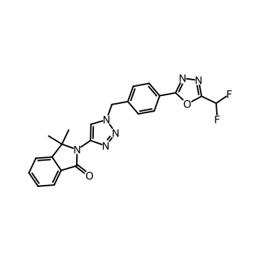 CC1(C)c2ccccc2C(=O)N1c1cn(Cc2ccc(-c3nnc(C(F)F)o3)cc2)nn1